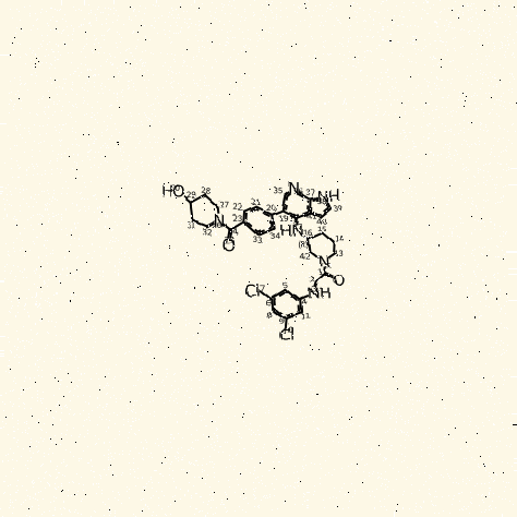 O=C(CNc1cc(Cl)cc(Cl)c1)N1CCC[C@@H](Nc2c(-c3ccc(C(=O)N4CCC(O)CC4)cc3)cnc3[nH]ccc23)C1